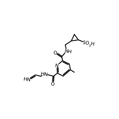 Cc1cc(C(=O)NCC=N)nc(C(=O)NCC2CC2S(=O)(=O)O)c1